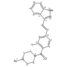 CC(=O)N1CCN(C(=O)c2ccc(/C=C/c3n[nH]c4ccccc34)cc2C)CC1